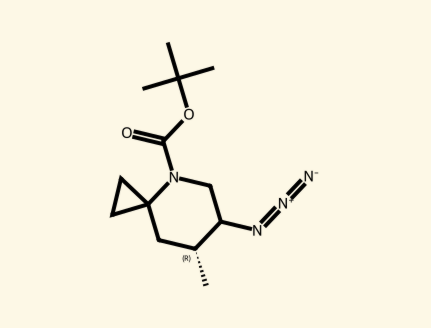 C[C@@H]1CC2(CC2)N(C(=O)OC(C)(C)C)CC1N=[N+]=[N-]